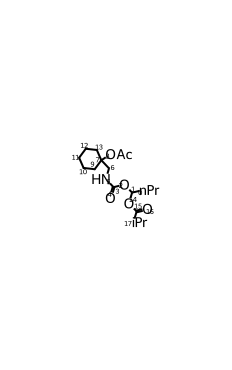 CCCC(OC(=O)NCC1(OC(C)=O)CCCCC1)OC(=O)C(C)C